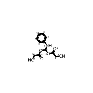 N#CCC(=O)OC(Nc1ccccc1)OC(=O)CC#N